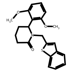 COc1cccc(OC)c1C1CCCC(=O)N1Cc1cc2ccccc2s1